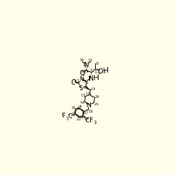 CC(O)[C@H](NC1=NC(=O)S/C1=C\C1CCN(Cc2ccc(C(F)(F)F)cc2C(F)(F)F)CC1)C(=O)N(C)C